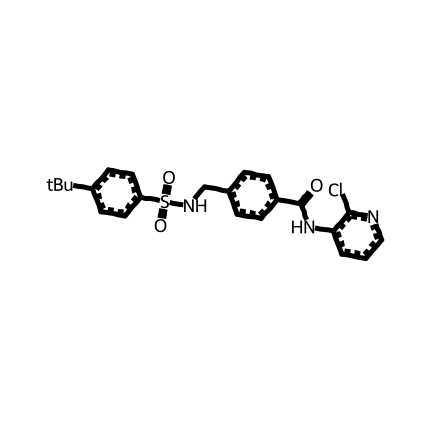 CC(C)(C)c1ccc(S(=O)(=O)NCc2ccc(C(=O)Nc3cccnc3Cl)cc2)cc1